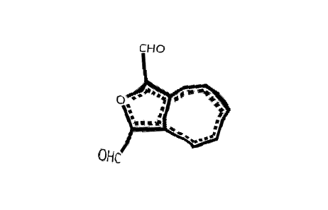 O=Cc1oc(C=O)c2ccccc12